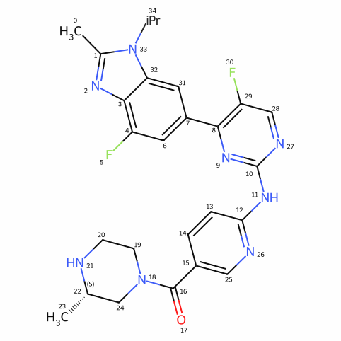 Cc1nc2c(F)cc(-c3nc(Nc4ccc(C(=O)N5CCN[C@@H](C)C5)cn4)ncc3F)cc2n1C(C)C